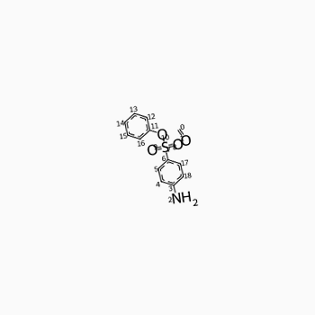 C=O.Nc1ccc(S(=O)(=O)Oc2ccccc2)cc1